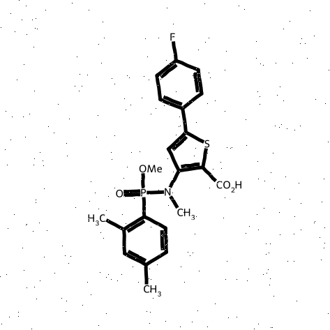 COP(=O)(c1ccc(C)cc1C)N(C)c1cc(-c2ccc(F)cc2)sc1C(=O)O